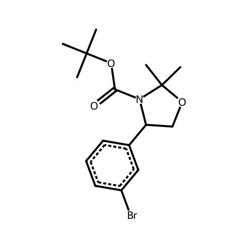 CC(C)(C)OC(=O)N1C(c2cccc(Br)c2)COC1(C)C